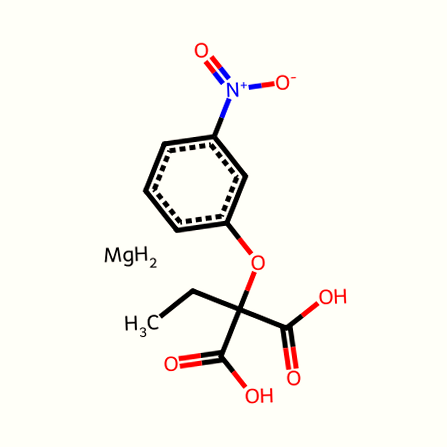 CCC(Oc1cccc([N+](=O)[O-])c1)(C(=O)O)C(=O)O.[MgH2]